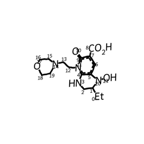 CCC1CNc2c(cc(C(=O)O)c(=O)n2CCN2CCOCC2)N1O